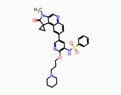 CN1C(=O)C2(CC2)c2c1cnc1ccc(-c3cnc(OCCCN4CCCCC4)c(NS(=O)(=O)c4ccccc4)c3)cc21